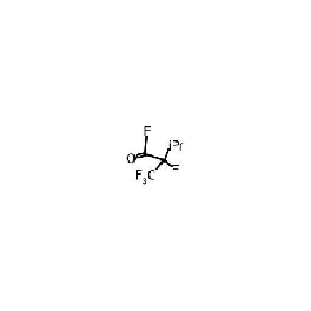 CC(C)C(F)(C(=O)F)C(F)(F)F